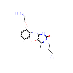 Cc1c2c(nc(=O)n1CCCN)Nc1c(OCCN)cccc1O2